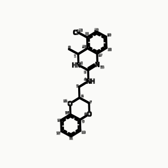 CC1NC(NCC2COc3ccccc3O2)=Nc2cccc(Cl)c21